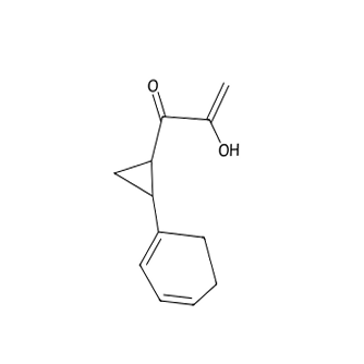 C=C(O)C(=O)C1CC1C1=CC=CCC1